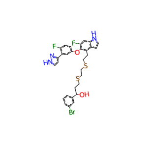 OC(CCSCCSCCc1c(Oc2ccc(F)c(-c3cc[nH]n3)c2)c(F)cc2[nH]ccc12)c1cccc(Br)c1